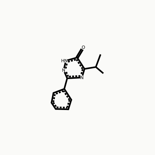 CC(C)c1nc(-c2ccccc2)n[nH]c1=O